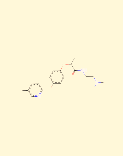 CCN(CC)CCNC(=O)C(C)Oc1ccc(Oc2ccc(C(F)(F)F)cn2)cc1